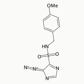 COc1ccc(CNS(=O)(=O)C2=NC=NC2=[N+]=[N-])cc1